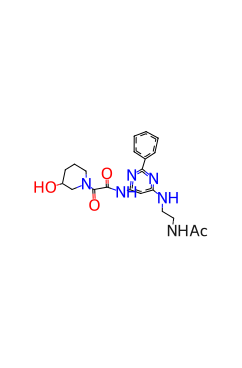 CC(=O)NCCNc1cc(NC(=O)C(=O)N2CCCC(O)C2)nc(-c2ccccc2)n1